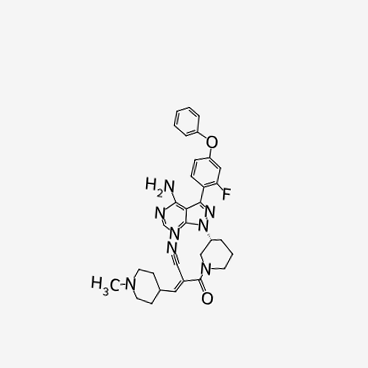 CN1CCC(/C=C(\C#N)C(=O)N2CCC[C@@H](n3nc(-c4ccc(Oc5ccccc5)cc4F)c4c(N)ncnc43)C2)CC1